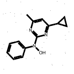 Cc1cc(C2CC2)nc(N(O)c2ccccc2)n1